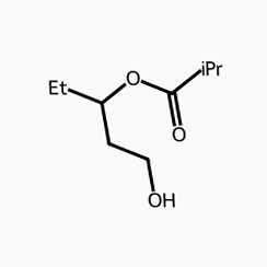 CCC(CCO)OC(=O)C(C)C